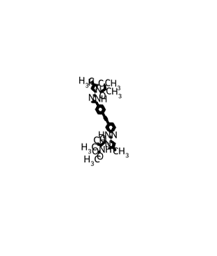 COC(=O)N[C@H](C(=O)N1CC(C)=C[C@H]1c1nc2ccc(C#Cc3ccc(-c4cnc([C@@H]5C=C(C)CN5C(=O)[C@@H](C)C(C)C)[nH]4)cc3)cc2[nH]1)C(C)C